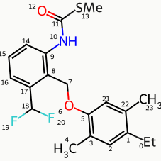 CCc1cc(C)c(OCc2c(NC(=O)SC)cccc2C(F)F)cc1C